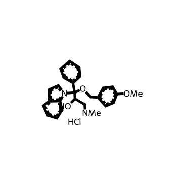 CNCC(O)C(OCc1ccc(OC)cc1)(c1ccccc1)n1ccc2ccccc21.Cl